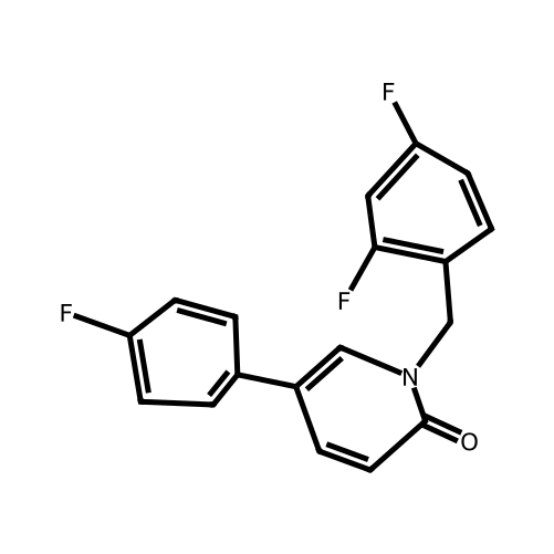 O=c1ccc(-c2ccc(F)cc2)cn1Cc1ccc(F)cc1F